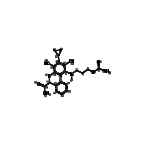 CN(CCCOC(N)=O)c1nc(SC(C(N)=O)c2ccccc2)c(C#N)c(C2CC2)c1C#N